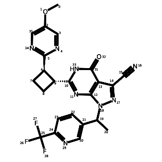 COc1cnc([C@@H]2CC[C@H]2c2nc3c(c(C#N)nn3C(C)c3ccc(C(F)(F)F)nc3)c(=O)[nH]2)nc1